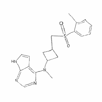 Cc1ccccc1S(=O)(=O)CC1CC(N(C)c2ncnc3[nH]ccc23)C1